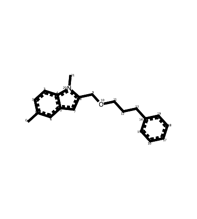 Cc1ccc2c(c1)cc(COCCCc1ccccc1)n2C